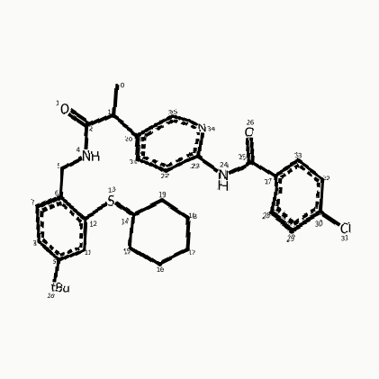 CC(C(=O)NCc1ccc(C(C)(C)C)cc1SC1CCCCC1)c1ccc(NC(=O)c2ccc(Cl)cc2)nc1